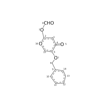 O=COc1cc(=O)c(OCc2ccccc2)co1